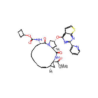 COC(=O)[C@@]12C[C@H]1/C=C\CCCCC[C@H](NC(=O)OC1CCC1)C(=O)N1C[C@H](Oc3nc(-c4ccccn4)nc4sccc34)C[C@H]1C(=O)N2